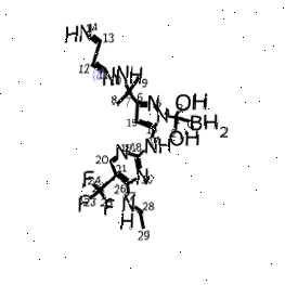 BC(O)(O)n1nc(C(C)(C)N/N=C\C=N)cc1Nc1ncc(C(F)(F)F)c(NCC)n1